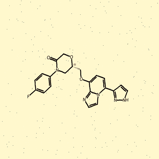 O=C1CO[C@H](COc2ccc(-c3cc[nH]n3)n3ccnc23)CN1c1ccc(F)cc1